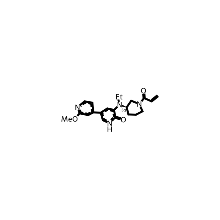 C=CC(=O)N1CCC[C@@H](N(CC)c2cc(-c3ccnc(OC)c3)c[nH]c2=O)C1